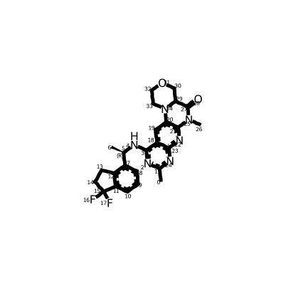 Cc1nc(N[C@H](C)c2cccc3c2CCC3(F)F)c2cc3c(nc2n1)N(C)C(=O)C1COCCN31